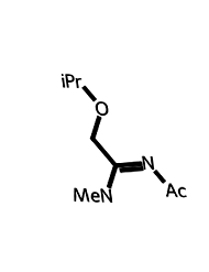 CN/C(COC(C)C)=N\C(C)=O